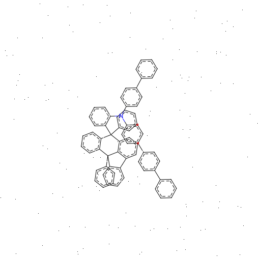 c1ccc(-c2ccc(-c3ccc(N(c4ccc(-c5ccccc5)cc4)c4ccccc4C4(c5ccccc5)c5ccccc5C5(c6ccccc6)c6ccccc6-c6cccc4c65)cc3)cc2)cc1